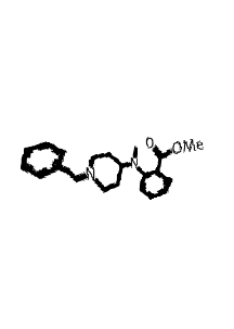 COC(=O)c1ccccc1N(C)C1CCN(Cc2ccccc2)CC1